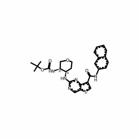 CC(C)(C)OC(=O)N[C@H]1COCC[C@H]1Nc1ncc2scc(C(=O)Nc3ccc4ccccc4c3)c2n1